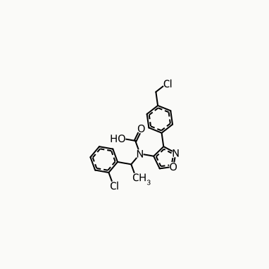 CC(c1ccccc1Cl)N(C(=O)O)c1conc1-c1ccc(CCl)cc1